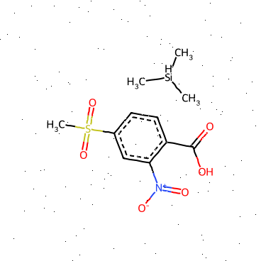 CS(=O)(=O)c1ccc(C(=O)O)c([N+](=O)[O-])c1.C[SiH](C)C